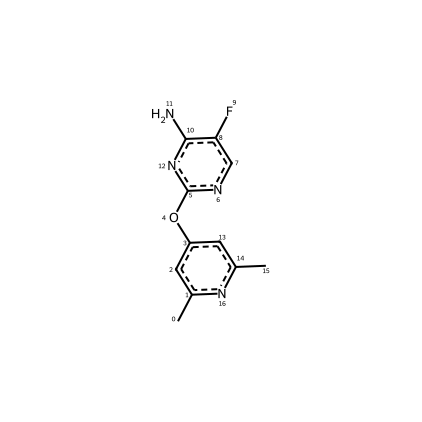 Cc1cc(Oc2ncc(F)c(N)n2)cc(C)n1